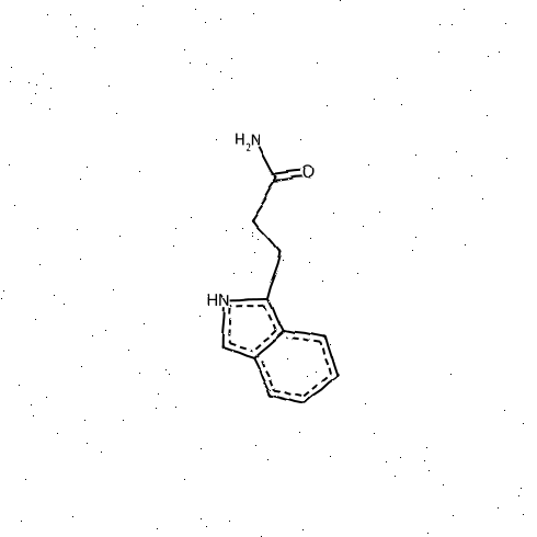 NC(=O)CCc1[nH]cc2ccccc12